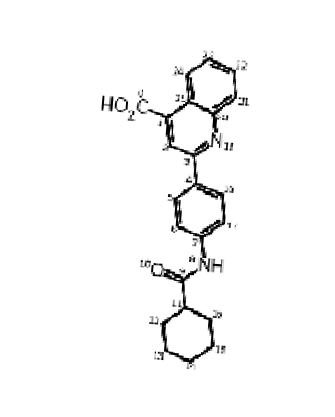 O=C(O)c1cc(-c2ccc(NC(=O)C3CCCCC3)cc2)nc2ccccc12